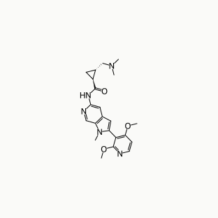 COc1ccnc(OC)c1-c1cc2cc(NC(=O)[C@H]3C[C@@H]3CN(C)C)ncc2n1C